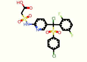 O=C(O)CS(=O)(=O)Nc1ccc(C(Cl)(c2cc(F)ccc2F)S(=O)(=O)c2ccc(Cl)cc2)cn1